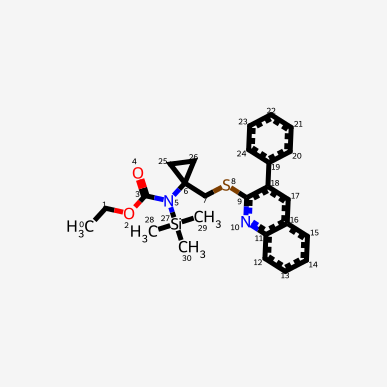 CCOC(=O)N(C1(CSc2nc3ccccc3cc2-c2ccccc2)CC1)[Si](C)(C)C